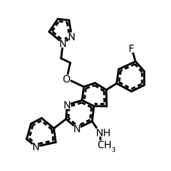 CNc1nc(-c2cccnc2)nc2c(OCCn3cccn3)cc(-c3cccc(F)c3)cc12